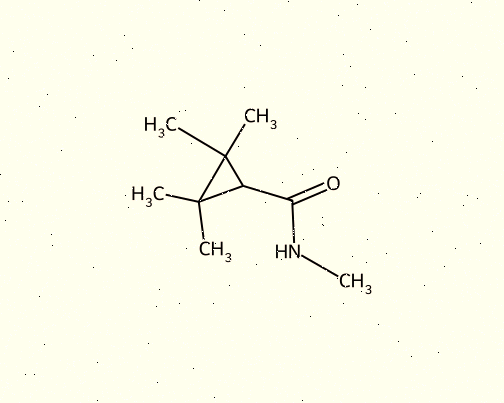 CNC(=O)C1C(C)(C)C1(C)C